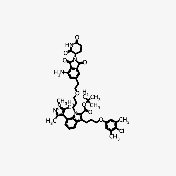 Cc1cc(OCCCc2c(C(=O)OC(C)(C)C)n(CCCOCCc3cc(N)c4c(c3)C(=O)N(C3CCC(=O)NC3=O)C4=O)c3c(-c4c(C)nn(C)c4C)cccc23)cc(C)c1Cl